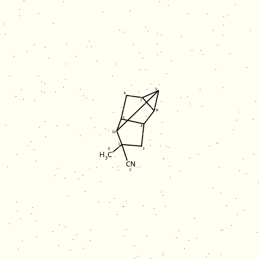 CC1(C#N)CC2C3CC4C2C4C31